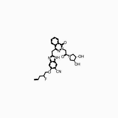 C=CCC(F)COc1cc2nc(Cc3nn(CC(=O)N4C[C@H](O)[C@@H](O)C4)c(=O)c4ccccc34)[nH]c2cc1C#N